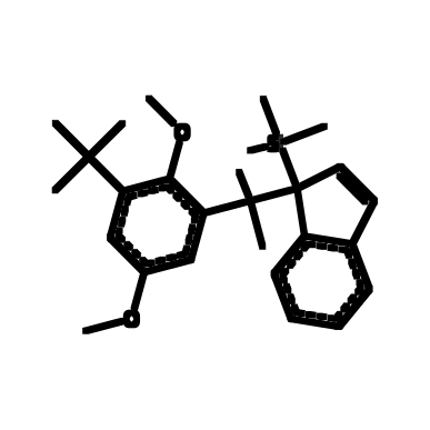 COc1cc(C(C)(C)C)c(OC)c(C(C)(C)C2([Si](C)(C)C)C=Cc3ccccc32)c1